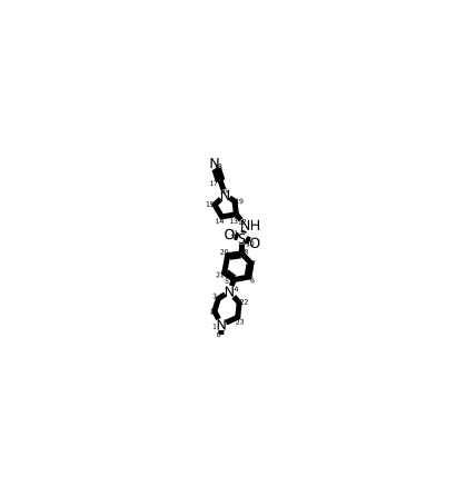 CN1CCN(c2ccc(S(=O)(=O)NC3CCN(C#N)C3)cc2)CC1